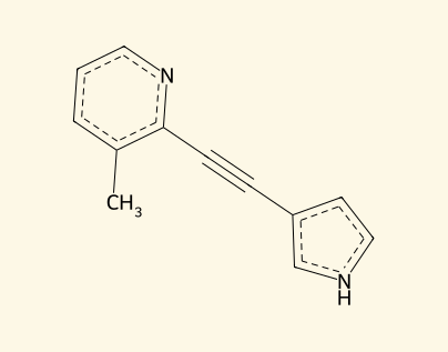 Cc1cccnc1C#Cc1cc[nH]c1